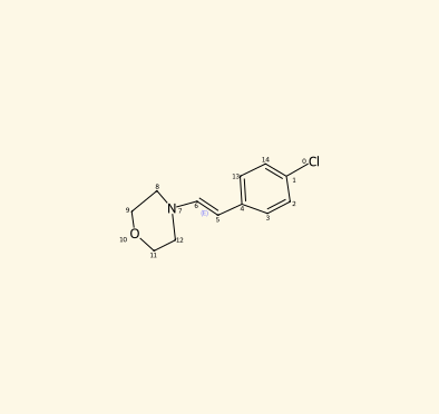 Clc1ccc(/C=C/N2CCOCC2)cc1